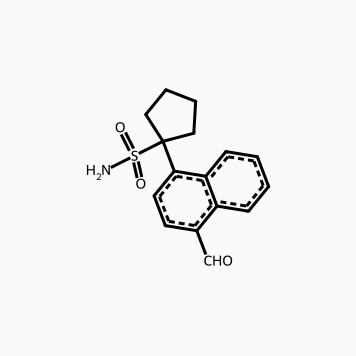 NS(=O)(=O)C1(c2ccc(C=O)c3ccccc23)CCCC1